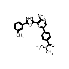 Cc1cccc(-c2nnc(-c3nc(-c4ccc(C(=O)N(C)C)cc4)cnc3N)o2)c1